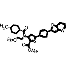 CCOCCN(c1cc(C2=CCC(c3cc4ncccc4o3)C=C2)sc1C(=O)OC)C(=O)[C@H]1CC[C@H](C)CC1